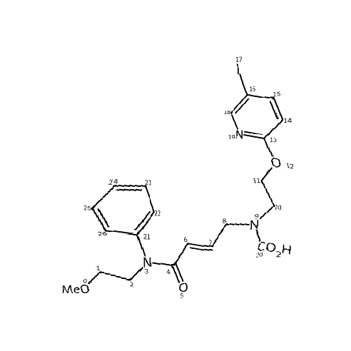 COCCN(C(=O)/C=C/CN(CCOc1ccc(I)cn1)C(=O)O)c1ccccc1